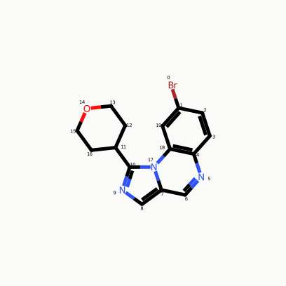 Brc1ccc2ncc3cnc(C4CCOCC4)n3c2c1